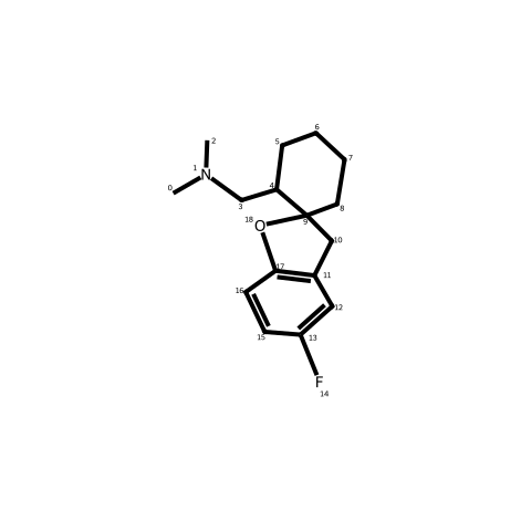 CN(C)CC1CCCCC12Cc1cc(F)ccc1O2